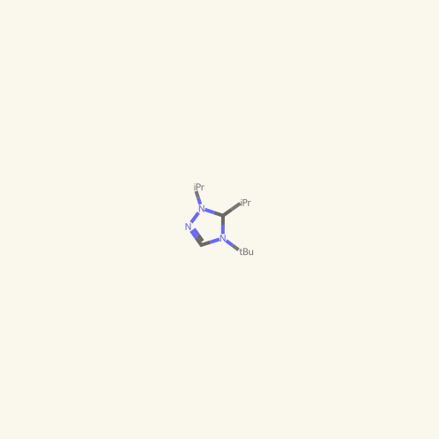 CC(C)C1N(C(C)C)N=CN1C(C)(C)C